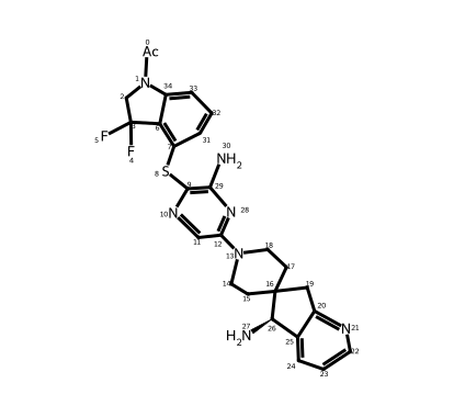 CC(=O)N1CC(F)(F)c2c(Sc3ncc(N4CCC5(CC4)Cc4ncccc4[C@H]5N)nc3N)cccc21